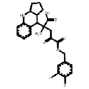 NC(CC(=O)C(=O)OCc1ccc(Cl)c(Cl)c1)(C(=O)O)C1c2ccccc2NC2CCCC21